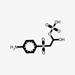 Nc1ccc(S(=O)(=O)CC(O)OS(=O)(=O)O)cc1